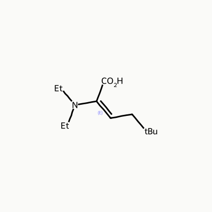 CCN(CC)/C(=C/CC(C)(C)C)C(=O)O